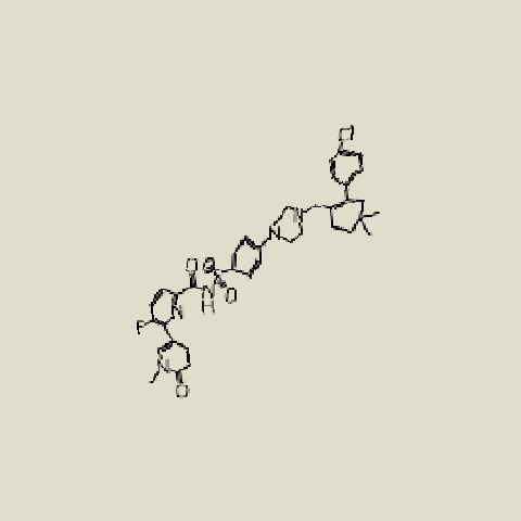 Cn1cc(-c2nc(C(=O)NS(=O)(=O)c3ccc(N4CCN(CC5=C(c6ccc(Cl)cc6)CC(C)(C)CC5)CC4)cc3)ccc2F)ccc1=O